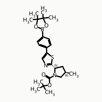 C[C@@H]1C[C@@H](c2ncc(-c3ccc(B4OC(C)(C)C(C)(C)O4)cc3)s2)N(C(=O)OC(C)(C)C)C1